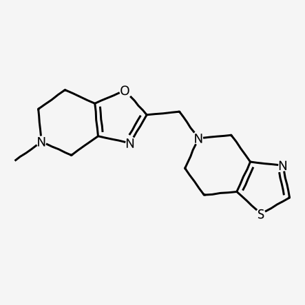 CN1CCc2oc(CN3CCc4scnc4C3)nc2C1